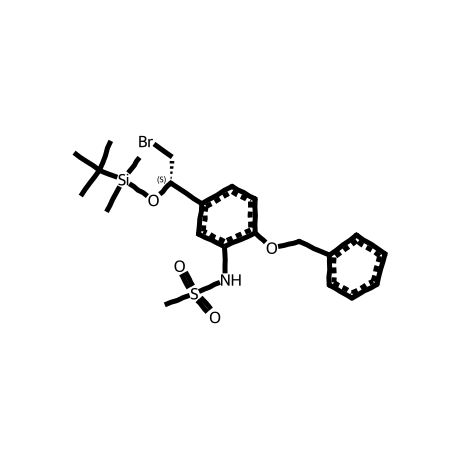 CC(C)(C)[Si](C)(C)O[C@H](CBr)c1ccc(OCc2ccccc2)c(NS(C)(=O)=O)c1